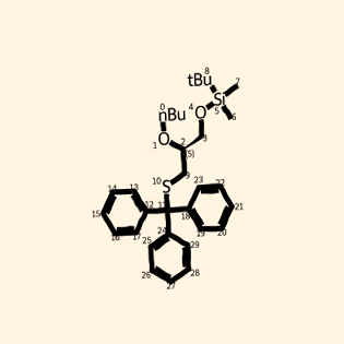 CCCCO[C@@H](CO[Si](C)(C)C(C)(C)C)CSC(c1ccccc1)(c1ccccc1)c1ccccc1